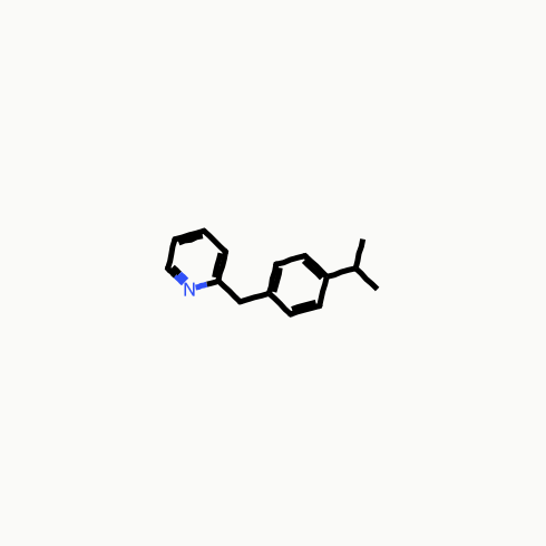 CC(C)c1ccc(Cc2ccccn2)cc1